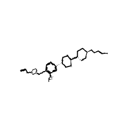 C=CCOCc1ccc([C@H]2CC[C@H]([C@H]3CC[C@H](CCCCC)CC3)CC2)cc1F